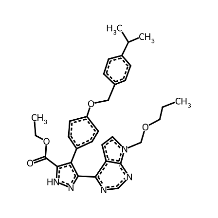 CCCOCn1ccc2c(-c3n[nH]c(C(=O)OCC)c3-c3ccc(OCc4ccc(C(C)C)cc4)cc3)ncnc21